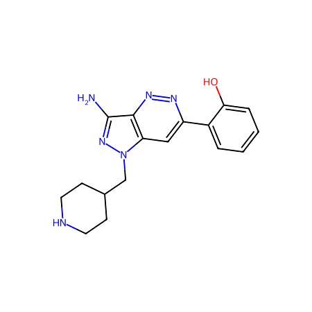 Nc1nn(CC2CCNCC2)c2cc(-c3ccccc3O)nnc12